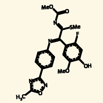 COC(=O)/N=C(SC)/C(=N/c1ccc(-c2noc(C)n2)cc1)c1cc(OC)c(O)cc1F